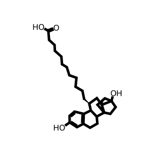 C[C@]12C[C@H](CCCCCCCCCCCC(=O)O)C3c4ccc(O)cc4CCC3C13CCC2(O)CC3